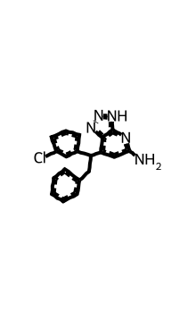 Nc1cc(C(Cc2ccccc2)c2cccc(Cl)c2)c2nn[nH]c2n1